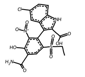 CCS(=O)(=O)c1cc(C(N)=O)c(O)c([N+](=O)[O-])c1-c1c(C(=O)O)[nH]c2ccc(Cl)cc12